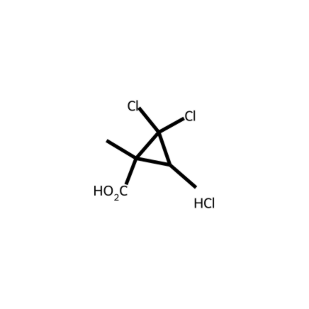 CC1C(Cl)(Cl)C1(C)C(=O)O.Cl